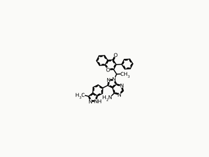 Cc1n[nH]c2cc(-c3nn(C(C)c4oc5ccccc5c(=O)c4-c4ccccc4)c4ncnc(N)c34)ccc12